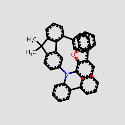 CC1(C)c2ccc(N(c3ccccc3-c3ccccc3)c3cccc4c3oc3ccccc34)cc2-c2c(-c3ccccc3)cccc21